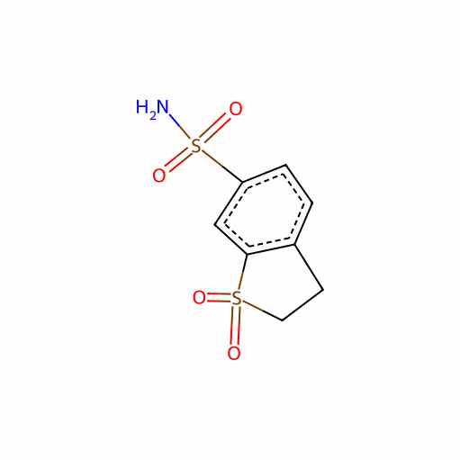 NS(=O)(=O)c1ccc2c(c1)S(=O)(=O)CC2